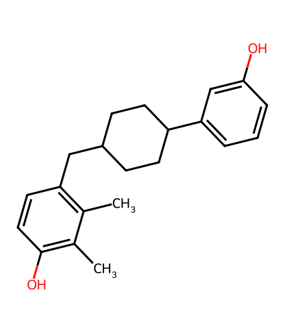 Cc1c(O)ccc(CC2CCC(c3cccc(O)c3)CC2)c1C